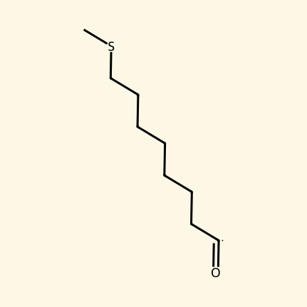 CSCCCCCCC[C]=O